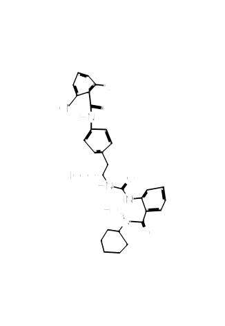 CN(C(=O)c1ccccc1NC(=O)N[C@@H](Cc1ccc(NC(=O)c2c(Cl)cccc2Cl)cc1)C(=O)O)C1CCCCC1